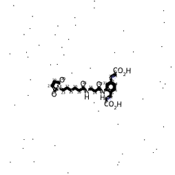 O=C(O)/C=C/c1ccc(/C=C/C(=O)O)c(NC(=O)CCNC(=O)CCCCCN2C(=O)C=CC2=O)c1